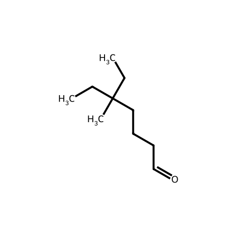 CCC(C)(CC)CCCC=O